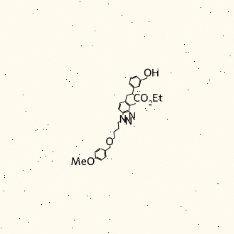 CCOC(=O)C(Cc1ccc2c(nnn2CCCCOCc2ccc(OC)cc2)c1C)c1cccc(CO)c1